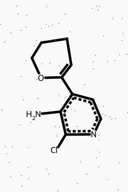 Nc1c(C2=CCCCO2)ccnc1Cl